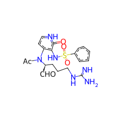 CC(=O)N(c1cc[nH]c(=O)c1NS(=O)(=O)c1ccccc1)[C@H](C=O)CCCNC(=N)N